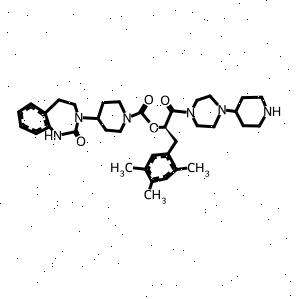 Cc1cc(C)c(C[C@@H](OC(=O)N2CCC(N3CCc4ccccc4NC3=O)CC2)C(=O)N2CCN(C3CCNCC3)CC2)cc1C